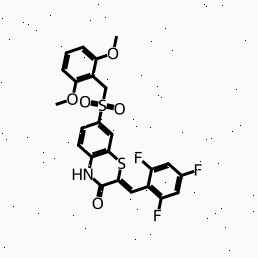 COc1cccc(OC)c1CS(=O)(=O)c1ccc2c(c1)SC(=Cc1c(F)cc(F)cc1F)C(=O)N2